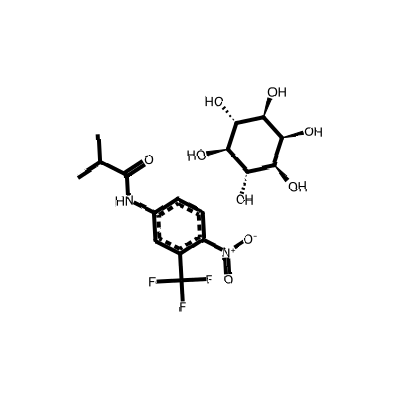 CC(C)C(=O)Nc1ccc([N+](=O)[O-])c(C(F)(F)F)c1.O[C@H]1[C@H](O)[C@@H](O)[C@H](O)[C@@H](O)[C@H]1O